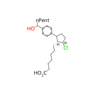 CCCCCC(O)c1ccc(C2CC[C@@H](Cl)[C@@H]2CCCCCCC(=O)O)cc1